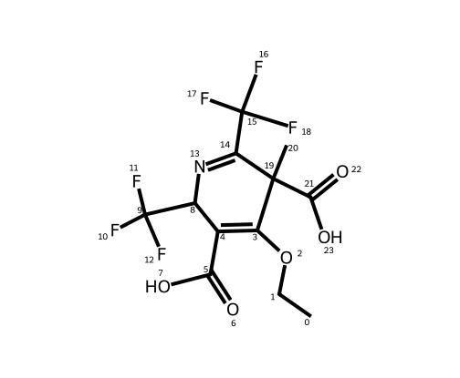 CCOC1=C(C(=O)O)C(C(F)(F)F)N=C(C(F)(F)F)C1(C)C(=O)O